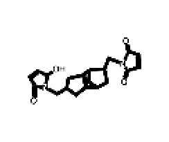 O=C1C=CC(=O)N1CC1CC2CC1C1CC(CN3C(=O)C=CC3O)CC21